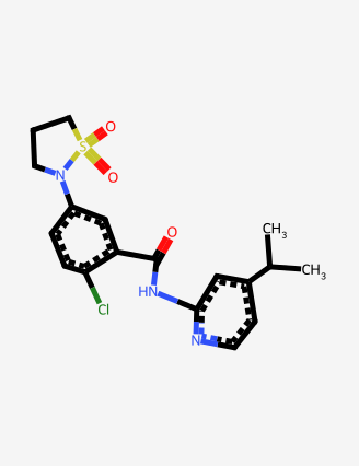 CC(C)c1ccnc(NC(=O)c2cc(N3CCCS3(=O)=O)ccc2Cl)c1